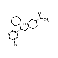 CN(C)C1CCN(CC(c2cccc(Br)c2)C2(O)CCCCC2)CC1